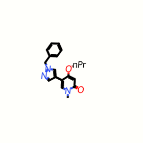 CCCOc1cc(=O)n(C)cc1-c1cnn(Cc2ccccc2)c1